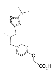 C[C@@H](Cc1ccc(OCC(=O)O)cc1)Cc1csc(N(C)C)n1